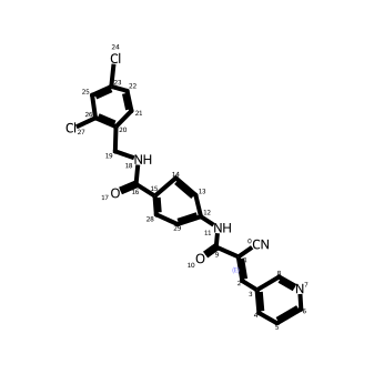 N#C/C(=C\c1cccnc1)C(=O)Nc1ccc(C(=O)NCc2ccc(Cl)cc2Cl)cc1